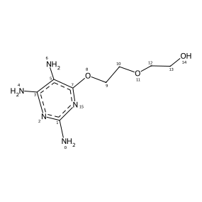 Nc1nc(N)c(N)c(OCCOCCO)n1